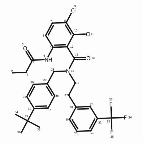 CCC(=O)Nc1ccc(Cl)c(Cl)c1C(=O)N(CCc1cccc(C(F)(F)F)c1)Cc1ccc(C(C)(C)C)cc1